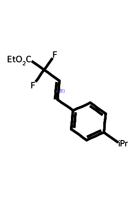 CCOC(=O)C(F)(F)/C=C/c1ccc(C(C)C)cc1